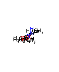 CC(C)/C(=C\c1ccccc1)[C@@H]1C[C@H]1N[C@H]1CC[C@H](N(Cc2ccc(C(=O)OC(C)(C)C)cc2)C(=O)OC(C)(C)C)CC1